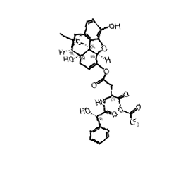 CN1CC[C@]23c4c5ccc(O)c4O[C@H]2C(OC(=O)C[C@H](NC(=O)[C@@H](O)c2ccccc2)C(=O)OC(=O)C(F)(F)F)=CC[C@@]3(O)[C@H]1C5